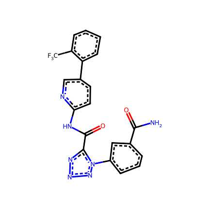 NC(=O)c1cccc(-n2nnnc2C(=O)Nc2ccc(-c3ccccc3C(F)(F)F)cn2)c1